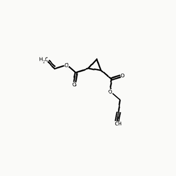 C#CCOC(=O)C1CC1C(=O)OC=C